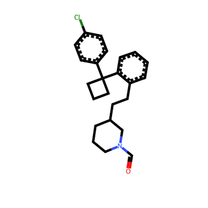 O=CN1CCCC(CCc2ccccc2C2(c3ccc(Cl)cc3)CCC2)C1